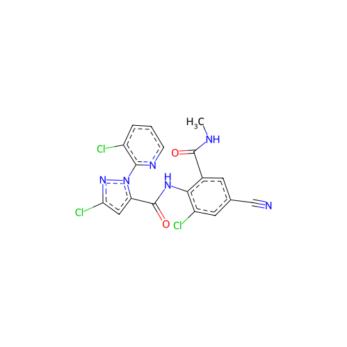 CNC(=O)c1cc(C#N)cc(Cl)c1NC(=O)c1cc(Cl)nn1-c1ncccc1Cl